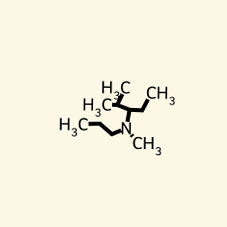 CCCN(C)C(CC)C(C)C